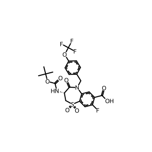 CC(C)(C)OC(=O)N[C@H]1CS(=O)(=O)c2cc(F)c(C(=O)O)cc2N(Cc2ccc(OC(F)(F)F)cc2)C1=O